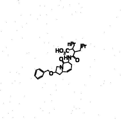 CCCC(C(=O)O)C(CC(C)C)C(=O)NC1CC=CC2CC(OCc3ccccc3)CN2C1=O